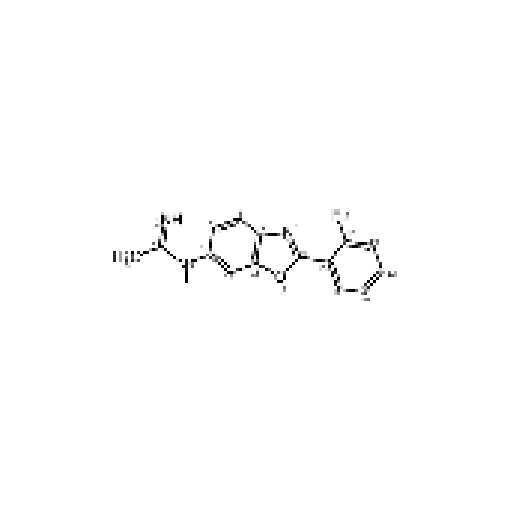 CC(=N)Nc1ccc2nc(-c3ccccc3F)oc2c1